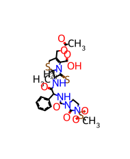 CC(=O)OCC1=C(C(=O)O)N2C(=S)[C@@](C)(NC(=O)C(NC(=O)N3CCN(S(C)(=O)=O)C3=O)c3ccccc3)[C@@H]2SC1